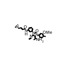 C=C/N=C1\C(=C(/C)N)N(c2ccc(C)c(OC)c2)C(=O)N1c1cccc(NC(=O)/C=C/CN(C)C)c1